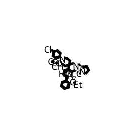 CCOc1ccccc1-c1ccc2c(n1)CN(C[C@H]1CCCN1C(=O)O)CC21CCN(c2ccc(Cl)cc2S(C)(=O)=O)CC1